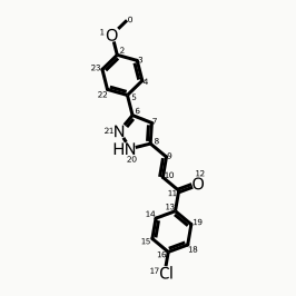 COc1ccc(-c2cc(C=CC(=O)c3ccc(Cl)cc3)[nH]n2)cc1